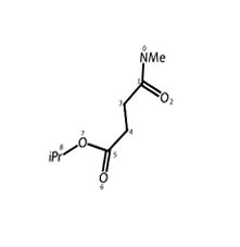 CNC(=O)CCC(=O)OC(C)C